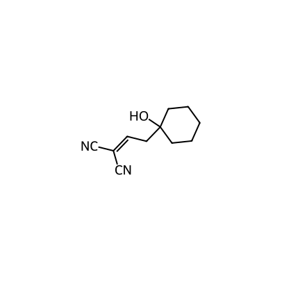 N#CC(C#N)=CCC1(O)CCCCC1